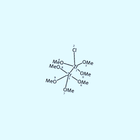 C[O][Zr]([Cl])([O]C)([O]C)[Zr]([O]C)([O]C)([O]C)[O]C